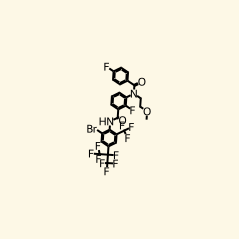 COCCN(C(=O)c1ccc(F)cc1)c1cccc(C(=O)Nc2c(Br)cc(C(F)(C(F)(F)F)C(F)(F)F)cc2C(F)(F)F)c1F